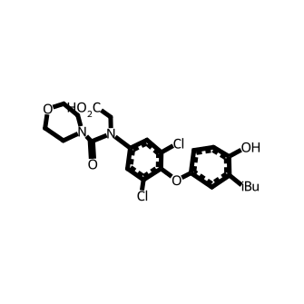 CCC(C)c1cc(Oc2c(Cl)cc(N(CC(=O)O)C(=O)N3CCOCC3)cc2Cl)ccc1O